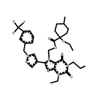 CCCn1c(=O)c2c(nc(-c3cnn(Cc4cccc(C(F)(F)F)c4)c3)n2COC(=O)C2(CCC)CCC(C)CC2)n(CC)c1=O